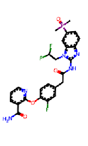 CP(C)(=O)c1ccc2nc(NC(=O)Cc3ccc(Oc4ncccc4C(N)=O)c(F)c3)n(CC(F)F)c2c1